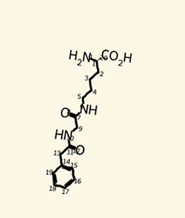 N[C@@H](CCCCNC(=O)CNC(=O)Cc1ccccc1)C(=O)O